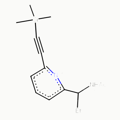 CCC(NC(C)=O)c1cccc(C#C[Si](C)(C)C)n1